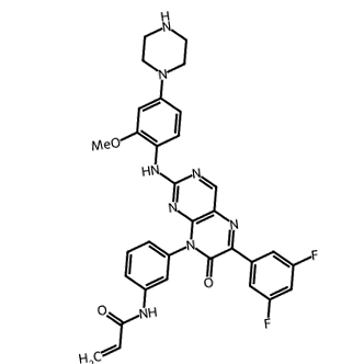 C=CC(=O)Nc1cccc(-n2c(=O)c(-c3cc(F)cc(F)c3)nc3cnc(Nc4ccc(N5CCNCC5)cc4OC)nc32)c1